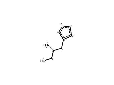 N[C@@H](CO)Cc1ccsc1